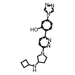 Oc1cc(-n2cnnc2)ccc1-c1ccc(N2CCC(NC3CCC3)C2)nn1